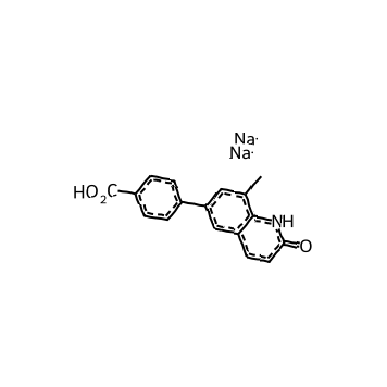 Cc1cc(-c2ccc(C(=O)O)cc2)cc2ccc(=O)[nH]c12.[Na].[Na]